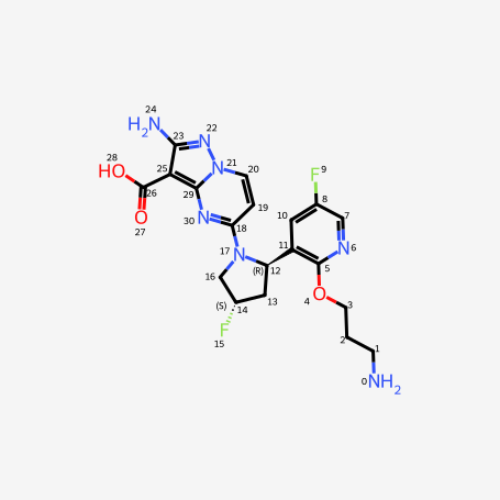 NCCCOc1ncc(F)cc1[C@H]1C[C@H](F)CN1c1ccn2nc(N)c(C(=O)O)c2n1